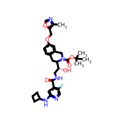 Cc1ncoc1COc1ccc2c(c1)CN(C(=O)OC(C)(C)C)C([C@H](O)CNC(=O)c1cc(NC3CCC3)ncc1F)C2